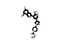 CC(C)(C)OC(=O)N1CCC(n2cc(-c3cnc(N)c(-c4cc5cc(F)cc(Cl)c5cn4)c3)cn2)CC1